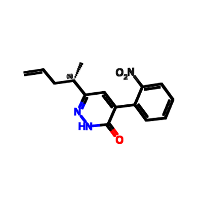 C=CC[C@H](C)c1cc(-c2ccccc2[N+](=O)[O-])c(=O)[nH]n1